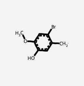 [CH2]c1cc(O)c(OC)cc1Br